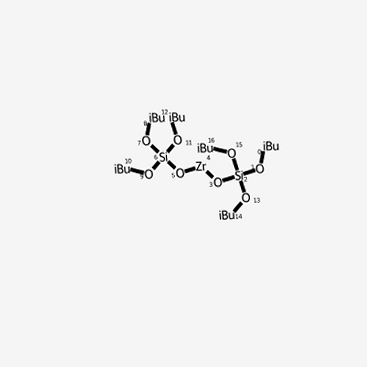 CCC(C)O[Si]([O][Zr][O][Si](OC(C)CC)(OC(C)CC)OC(C)CC)(OC(C)CC)OC(C)CC